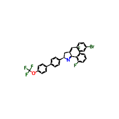 Fc1cccc(F)c1C1=N[C@@H](c2ccc(-c3ccc(OC(F)(F)F)cc3)cc2)C/C1=C/c1ccc(Br)cc1